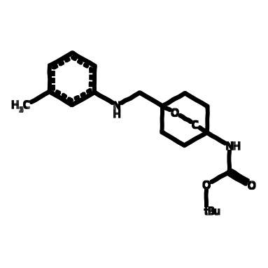 Cc1cccc(NCC23CCC(NC(=O)OC(C)(C)C)(CC2)CO3)c1